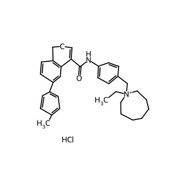 CC[N+]1(Cc2ccc(NC(=O)C3=CCCc4ccc(-c5ccc(C)cc5)cc43)cc2)CCCCCCC1.Cl